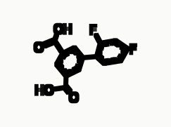 O=C(O)c1cc(C(=O)O)cc(-c2ccc(F)cc2F)c1